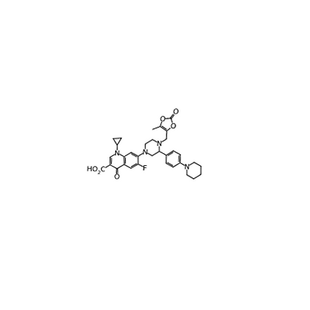 Cc1oc(=O)oc1CN1CCN(c2cc3c(cc2F)c(=O)c(C(=O)O)cn3C2CC2)CC1c1ccc(N2CCCCC2)cc1